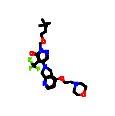 C[Si](C)(C)CCOCn1ncc(N2Cc3nccc(OCCN4CCOCC4)c3C2)c(C(F)(F)F)c1=O